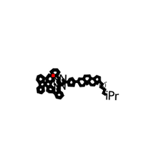 CC(C)CCC[C@@H](C)C1CCC2C3CCC4CC(c5ccc(-c6nc(-c7ccccc7)nc(-n7c8ccccc8c8ccc9c(c87)-c7ccccc7C97c8ccccc8-c8ccccc87)n6)cc5)CCC4(C)C3CCC21C